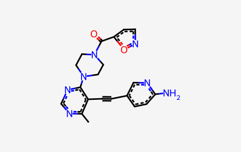 Cc1ncnc(N2CCN(C(=O)c3ccno3)CC2)c1C#Cc1ccc(N)nc1